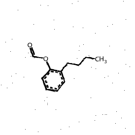 CCCCc1ccccc1O[C]=O